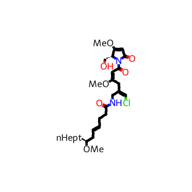 CCCCCCC[C@@H](C/C=C/CCC(=O)NC/C(=C\Cl)C/C(=C\C(=O)N1C(=O)C=C(OC)[C@H]1CO)OC)OC